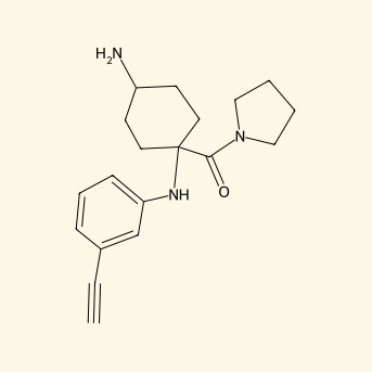 C#Cc1cccc(NC2(C(=O)N3CCCC3)CCC(N)CC2)c1